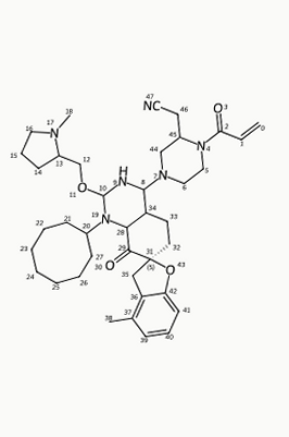 C=CC(=O)N1CCN(C2NC(OCC3CCCN3C)N(C3CCCCCCC3)C3C(=O)[C@]4(CCC23)Cc2c(C)cccc2O4)CC1CC#N